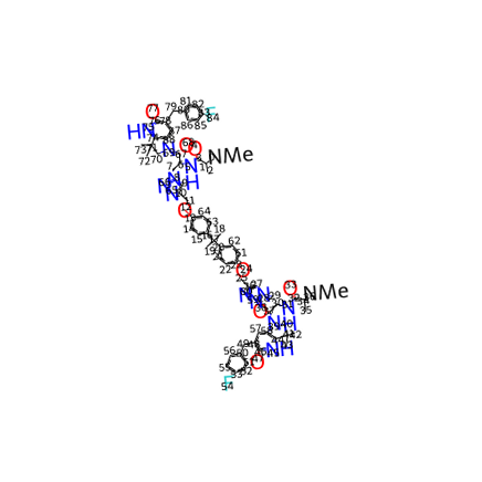 CN[C@@H](C)C(=O)N[C@@H](Cn1cc(COc2ccc(C(C)(C)c3ccc(OCc4cn(C[C@H](NC(=O)[C@H](C)NC)C(=O)N5CC(C)(C)c6[nH]c(=O)c(Cc7ccc(F)cc7)cc65)nn4)cc3)cc2)nn1)C(=O)N1CC(C)(C)c2[nH]c(=O)c(Cc3ccc(F)cc3)cc21